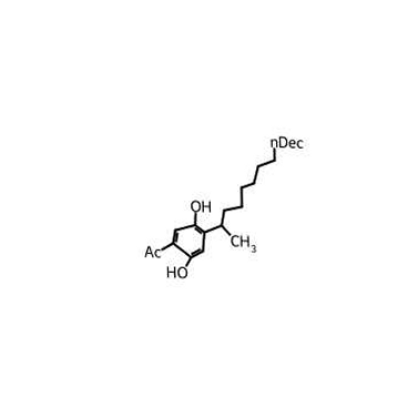 CCCCCCCCCCCCCCCCC(C)c1cc(O)c(C(C)=O)cc1O